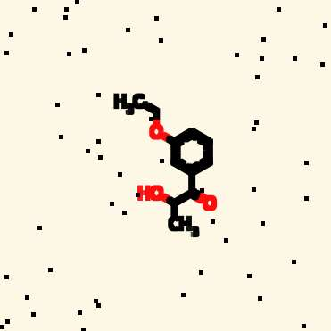 CCOc1cccc(C(=O)C(C)O)c1